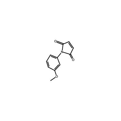 COc1cccc(N2C(=O)C=CC2=O)c1